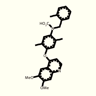 COc1cc2nccc(Oc3cc(C)c(N(Cc4ccccc4C)C(=O)O)cc3C)c2cc1OC